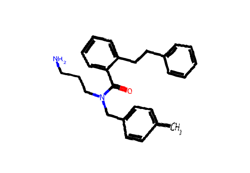 Cc1ccc(CN(CCCN)C(=O)c2ccccc2CCc2ccccc2)cc1